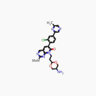 CNc1ncc2cc(-c3ccc(-c4cncc(C)n4)cc3Cl)c(=O)n(CCC3OCC(N)CO3)c2n1